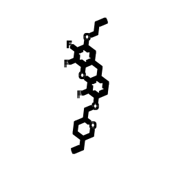 C=CCOc1cc2c(c(F)c1F)Oc1c(ccc(OCC3CCC(C=C)CO3)c1F)C2